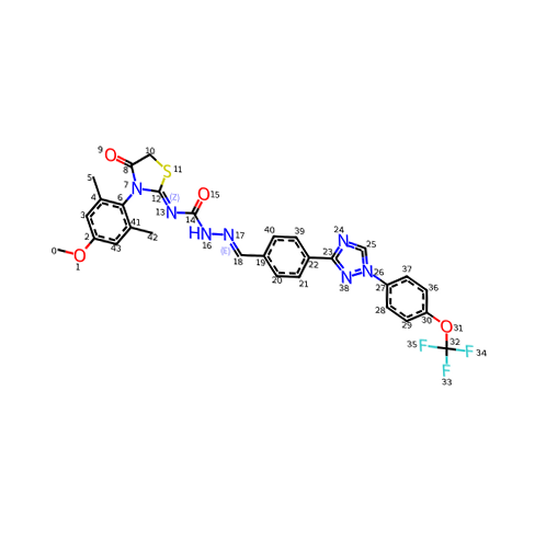 COc1cc(C)c(N2C(=O)CS/C2=N\C(=O)N/N=C/c2ccc(-c3ncn(-c4ccc(OC(F)(F)F)cc4)n3)cc2)c(C)c1